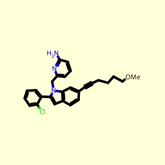 COCCCCC#Cc1ccc2cc(-c3ccccc3Cl)n(Cc3cccc(N)n3)c2c1